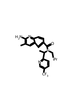 Cc1cc2cc(C(=O)N(CC(C)C)C(C)c3ccc(C(F)(F)F)cn3)ccc2nc1N